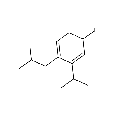 CC(C)CC1=CCC(F)C=C1C(C)C